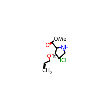 C=CCO[C@H]1CCNC1C(=O)OC.Cl